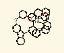 c1ccc(-c2cccc(-c3ccccc3)c2Nc2ccccc2Nc2cccc(Oc3ccc4c5ccccc5n(-c5cc6c(cn5)-c5ccccc5-c5ccccc5-c5ccccc5-6)c4c3)c2)cc1